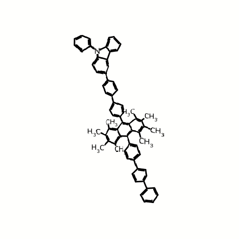 Cc1c(C)c(C)c2c(-c3ccc(-c4ccc(-c5ccc6c(c5)c5ccccc5n6-c5ccccc5)cc4)cc3)c3c(C)c(C)c(C)c(C)c3c(-c3ccc(-c4ccc(-c5ccccc5)cc4)cc3)c2c1C